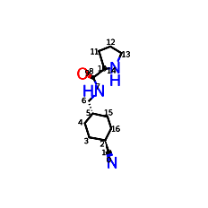 N#C[C@H]1CC[C@H](CNC(=O)C2CCCN2)CC1